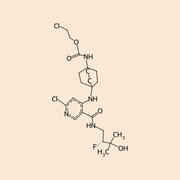 CC(C)(O)[C@H](F)CNC(=O)c1cnc(Cl)cc1NC12CCC(NC(=O)OCCCl)(CC1)CC2